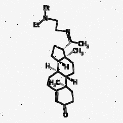 CCN(CC)CC/N=C(/C)[C@H]1CC[C@H]2[C@@H]3CCC4=CC(=O)CC[C@]4(C)[C@H]3CC[C@]12C